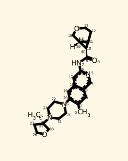 Cc1cc2cnc(NC(=O)[C@@H]3[C@@H]4CCOC[C@H]43)cc2cc1N1CCN([C@]2(C)CCOC2)CC1